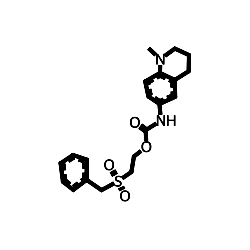 CN1CCCc2cc(NC(=O)OCCS(=O)(=O)Cc3ccccc3)ccc21